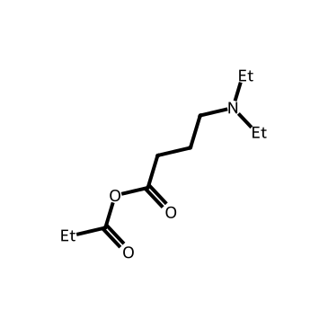 CCC(=O)OC(=O)CCCN(CC)CC